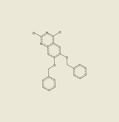 Clc1nc(Cl)c2cc(OCc3ccccc3)c(OCc3ccccc3)cc2n1